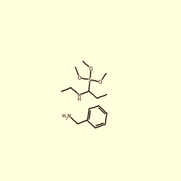 CCNC(CC)[Si](OC)(OC)OC.NCc1ccccc1